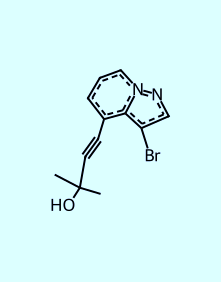 CC(C)(O)C#Cc1cccn2ncc(Br)c12